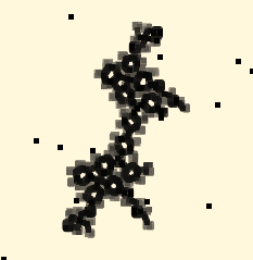 CCOCCOc1ccc(C2(c3ccc(OCC4(CC)COC4)cc3)c3ccccc3-c3ccc(N(c4ccc(-c5ccc(N(c6cccc(F)c6)c6ccc7c(c6)C(c6ccc(OCCOCC)cc6)(c6ccc(OCC8(CC)COC8)cc6)c6ccccc6-7)cc5)cc4)c4cccc(F)c4)cc32)cc1